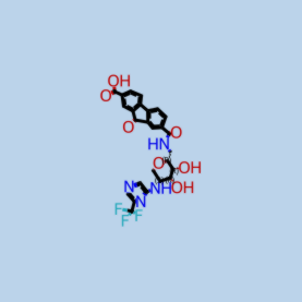 O=C(O)c1ccc2c(c1)C(=O)c1cc(C(=O)NC[C@H]3OC[C@H](Nc4cncc(C(F)(F)F)n4)[C@@H](O)[C@H]3O)ccc1-2